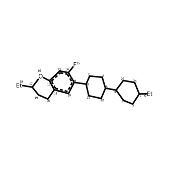 CCC1CCC(C2CCC(c3cc4c(cc3F)OC(CC)CC4)CC2)CC1